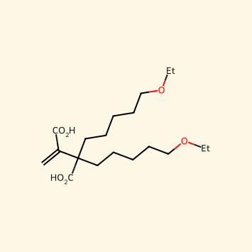 C=C(C(=O)O)C(CCCCCOCC)(CCCCCOCC)C(=O)O